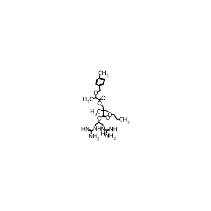 CCCOCC(C)(COC(=O)C(C)OCc1ccc(C)cc1)C(=O)OC(CNC(=N)N)CNC(=N)N